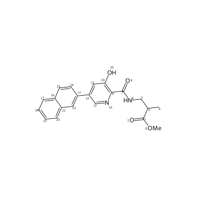 COC(=O)C(C)CNC(=O)c1ncc(-c2ccc3ccccc3c2)cc1O